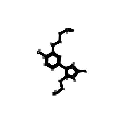 COCCOc1cc(-c2nc(C)sc2CCC(C)C)ccc1Cl